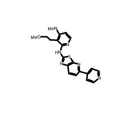 CNc1ccnc(Nc2nc3ccc(-c4ccncc4)nc3s2)c1CCOC